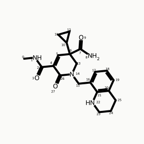 CNC(=O)C1=CC(C(N)=O)(C2CC2)CN(Cc2cccc3c2NCCC3)C1=O